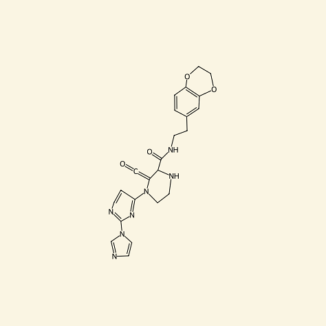 O=C=C1C(C(=O)NCCc2ccc3c(c2)OCCO3)NCCN1c1ccnc(-n2ccnc2)n1